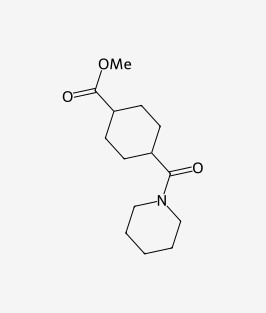 COC(=O)C1CCC(C(=O)N2CCCCC2)CC1